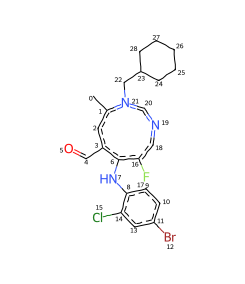 Cc1cc(C=O)c(Nc2ccc(Br)cc2Cl)c(F)cncn1CC1CCCCC1